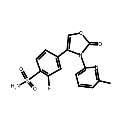 Cc1cccc(-n2c(-c3ccc(S(N)(=O)=O)c(F)c3)coc2=O)n1